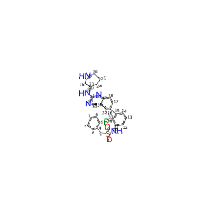 O=S(=O)(Cc1ccccc1)Nc1cccc(-c2ccc3nc(N[C@H]4CCCNC4)ncc3c2)c1F